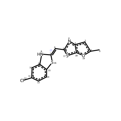 Cc1cc2nc(/C=C3/Nc4cc(Cl)ccc4S3)sc2o1